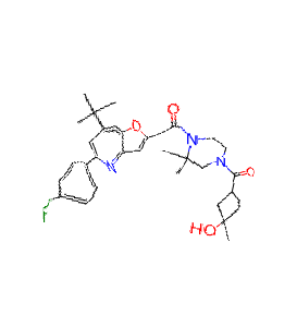 CC1(O)CC(C(=O)N2CCN(C(=O)c3cc4nc(-c5ccc(F)cc5)cc(C(C)(C)C)c4o3)C(C)(C)C2)C1